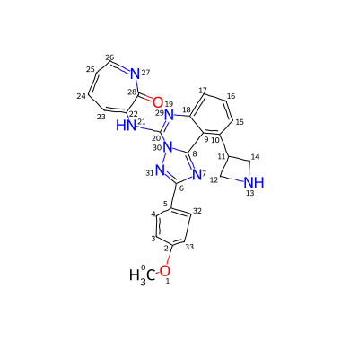 COc1ccc(-c2nc3c4c(C5CNC5)cccc4nc(Nc4ccccnc4=O)n3n2)cc1